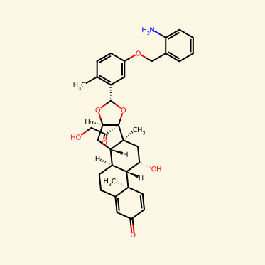 Cc1ccc(OCc2ccccc2N)cc1[C@H]1O[C@@H]2C[C@H]3[C@@H]4CCC5=CC(=O)C=C[C@]5(C)[C@H]4[C@@H](O)C[C@]3(C)[C@]2(C(=O)CO)O1